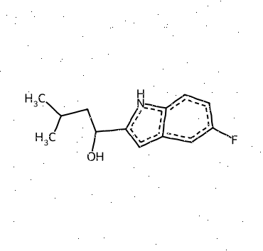 CC(C)CC(O)c1cc2cc(F)ccc2[nH]1